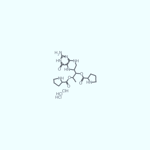 CC(OC(=O)C1CCCN1)C(OC(=O)C1CCCN1)C1CNc2nc(N)[nH]c(=O)c2N1.Cl.Cl.Cl